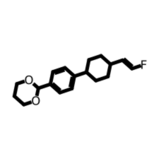 FC=CC1CCC(c2ccc(C3OCCCO3)cc2)CC1